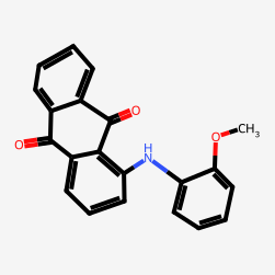 COc1ccccc1Nc1cccc2c1C(=O)c1ccccc1C2=O